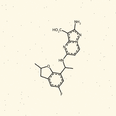 CC1Cc2cc(F)cc(C(C)Nc3ccn4nc(N)c(C(=O)O)c4n3)c2O1